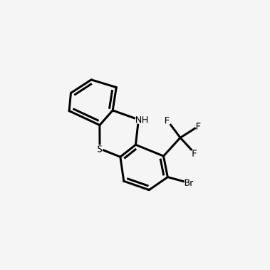 FC(F)(F)c1c(Br)ccc2c1Nc1ccccc1S2